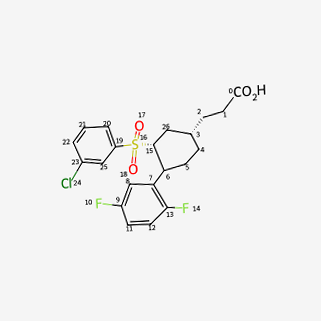 O=C(O)CC[C@@H]1CCC(c2cc(F)ccc2F)[C@H](S(=O)(=O)c2cccc(Cl)c2)C1